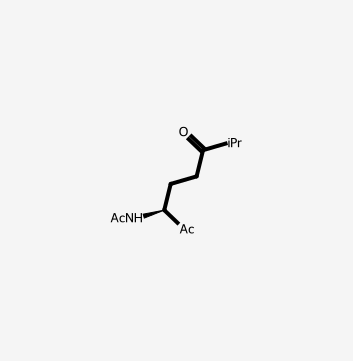 CC(=O)N[C@@H](CCC(=O)C(C)C)C(C)=O